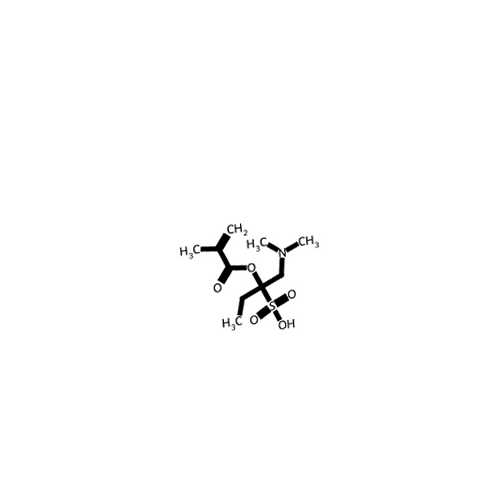 C=C(C)C(=O)OC(CC)(CN(C)C)S(=O)(=O)O